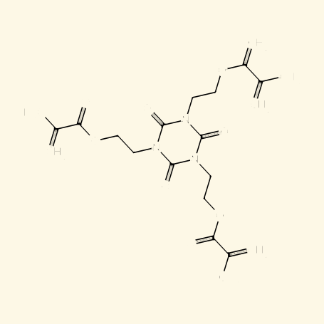 C=C(C)C(=C)OCCn1c(=O)n(CCOC(=O)C(=C)C)c(=O)n(CCOC(=O)C(=C)C)c1=O